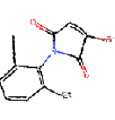 CCc1cccc(C)c1N1C(=O)C=C(Br)C1=O